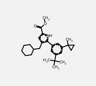 COC(=O)c1cc(CC2CCCCC2)c(-c2cc(C(C)(C)C)cc(C3(C)CC3)c2)[nH]1